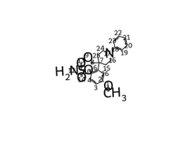 COc1cccc(C2(C(=O)OS(N)(=O)=O)CCN(c3ccccc3)CC2)c1